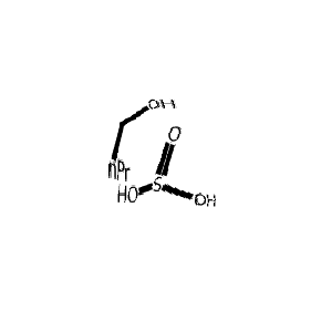 CCCCO.O=S(O)O